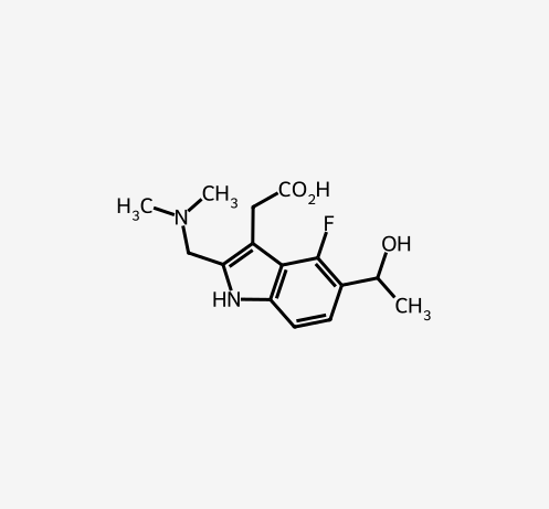 CC(O)c1ccc2[nH]c(CN(C)C)c(CC(=O)O)c2c1F